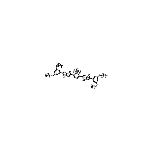 CC(C)Cc1cc(CC(C)C)cc(-c2cc3sc(-c4ccc(-c5cc6sc(-c7cc(CC(C)C)cc(CC(C)C)c7)cc6s5)c5nsnc45)cc3s2)c1